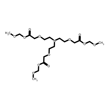 COCOC(=O)COCCN(CCOCC(=O)OCOC)CCOCC(=O)OCOC